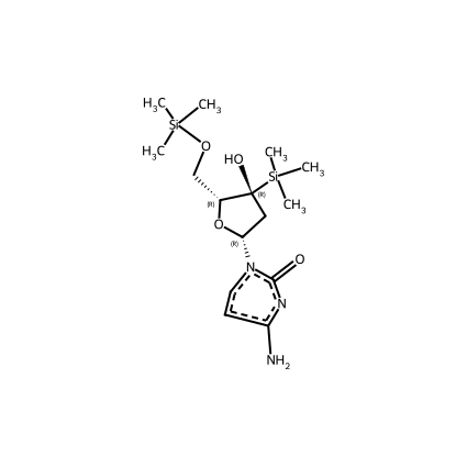 C[Si](C)(C)OC[C@H]1O[C@@H](n2ccc(N)nc2=O)C[C@@]1(O)[Si](C)(C)C